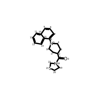 O=C(C1CCN(c2cccc3ccccc23)CC1)N1CCSC1